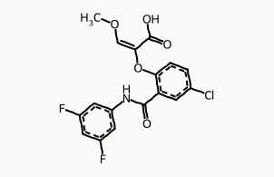 COC=C(Oc1ccc(Cl)cc1C(=O)Nc1cc(F)cc(F)c1)C(=O)O